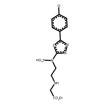 CCOC(=O)CNCCN(c1nnc(-c2ccc(Cl)cc2)s1)S(=O)(=O)O